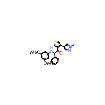 COc1cc(NC(C(=O)c2cscc2-c2cnn(C)c2)c2ccccc2)cc(OC)c1